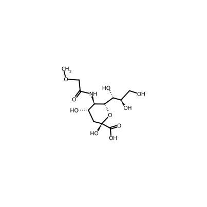 COCC(=O)N[C@H]1[C@H]([C@H](O)[C@H](O)CO)O[C@](O)(C(=O)O)C[C@@H]1O